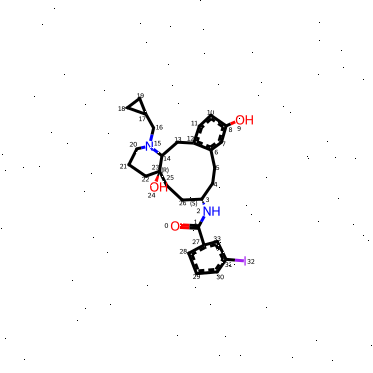 O=C(N[C@H]1CCc2cc(O)ccc2CC2N(CC3CC3)CCC[C@@]2(O)CC1)c1cccc(I)c1